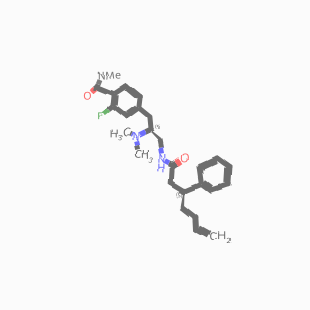 C=CCC[C@@H](CC(=O)NC[C@H](Cc1ccc(C(=O)NC)c(F)c1)N(C)C)c1ccccc1